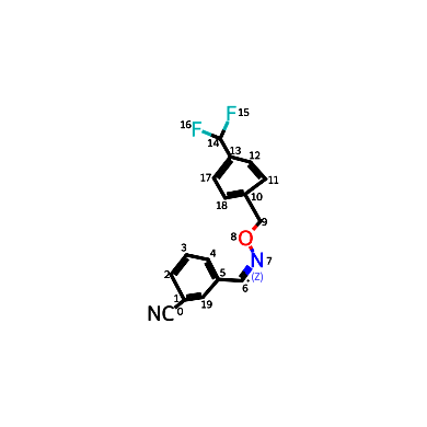 N#Cc1cccc(/[C]=N\OCc2ccc(C(F)F)cc2)c1